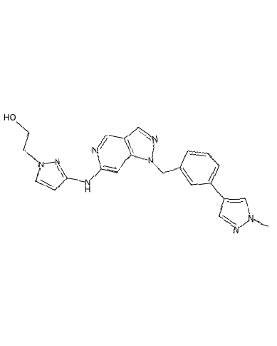 Cn1cc(-c2cccc(Cn3ncc4cnc(Nc5ccn(CCO)n5)cc43)c2)cn1